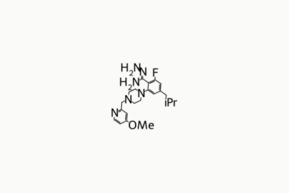 COc1ccnc(CN2CCN(c3cc(CC(C)C)cc(F)c3/C(N)=N/N)CC2)c1